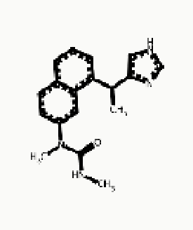 CNC(=O)N(C)c1ccc2cccc(C(C)c3c[nH]cn3)c2c1